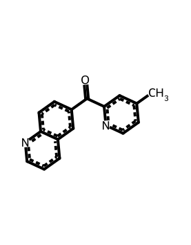 Cc1ccnc(C(=O)c2ccc3ncccc3c2)c1